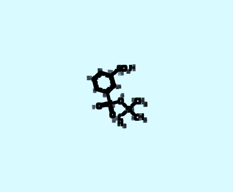 C[Si](C)(C)OS(=O)(=O)c1cccc(S(=O)(=O)O)c1